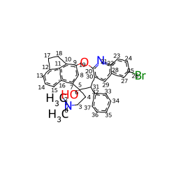 CN(C)CCC1(O)c2cc(c3c4c(cccc24)CC3)Oc2nc3ccc(Br)cc3cc2C1c1ccccc1